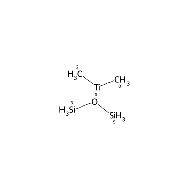 [CH3][Ti][CH3].[SiH3]O[SiH3]